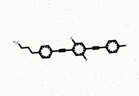 CCCCc1ccc(C#Cc2cc(F)c(C#Cc3ccc(F)cc3)cc2F)cc1